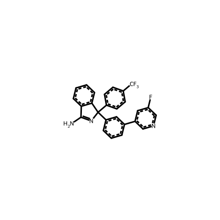 NC1=NC(c2ccc(C(F)(F)F)cc2)(c2cccc(-c3cncc(F)c3)c2)c2ccccc21